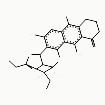 CCc1c2c(c(O)c3c4c(c(Cl)cc13)C1OC3(CCl)OC1[C@@](OC)(O4)[C@@]3(O)CBr)C(=O)CCC2